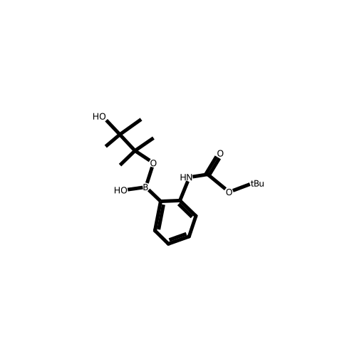 CC(C)(C)OC(=O)Nc1ccccc1B(O)OC(C)(C)C(C)(C)O